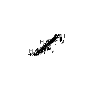 CC1(C)c2cc(CO)ccc2-c2ccc(-c3ccc4c(c3)C(C)(C)c3cc(-c5ccc6c(c5)C(C)(C)c5cc(-c7ccc8c(c7)C(C)(C)c7cc(CCO)ccc7-8)ccc5-6)ccc3-4)cc21